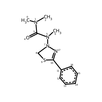 CN(C)C(=O)N(C)N1[CH]SC(c2ccccc2)=N1